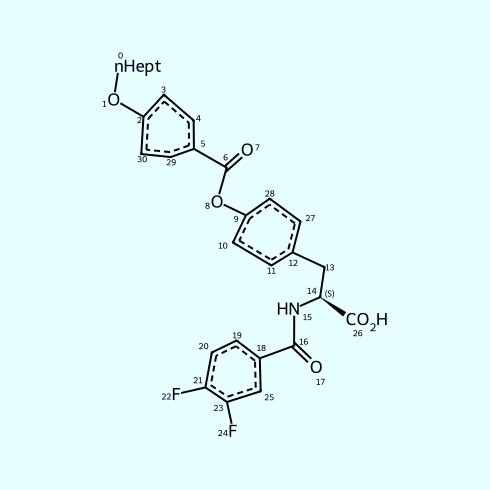 CCCCCCCOc1ccc(C(=O)Oc2ccc(C[C@H](NC(=O)c3ccc(F)c(F)c3)C(=O)O)cc2)cc1